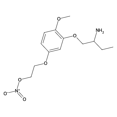 CCC(N)COc1cc(OCCO[N+](=O)[O-])ccc1OC